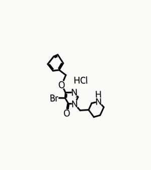 Cl.O=c1c(Br)c(OCc2ccccc2)ncn1CC1CCCNC1